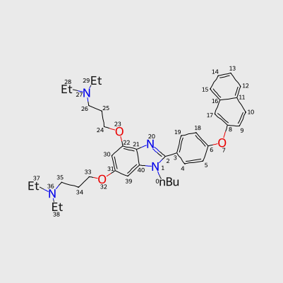 CCCCn1c(-c2ccc(Oc3ccc4ccccc4c3)cc2)nc2c(OCCCN(CC)CC)cc(OCCCN(CC)CC)cc21